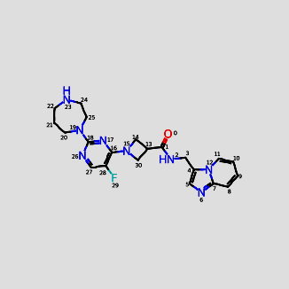 O=C(NCc1cnc2ccccn12)C1CN(c2nc(N3CCCNCC3)ncc2F)C1